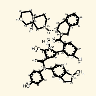 Cc1c(C(=O)N(c2ccc(O)cc2)c2cnc3c(c2)CCN3C)cc(-c2cc(Cl)ccc2C(=O)N2Cc3ccccc3C[C@H]2CN2CCN3CCOC[C@H]3C2)n1C